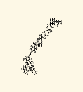 O=C1CC[C@H](Nc2ccc(C3CCN(CC(=O)N4CCC(NC(=O)c5ccc(C#Cc6cc(F)c7c(c6)C(=O)N(C(C(=O)Nc6nccs6)c6ncn8c6CCC8)C7)cn5)CC4)CC3)c(F)c2)C(=O)N1